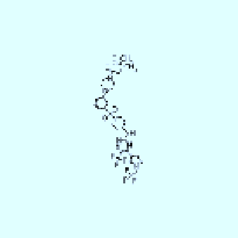 CC(C)(C)OC(=O)N1CCN(c2cccc(S(=O)(=O)N3CCC(Nc4ncc(C(F)(F)F)c(-c5cnn(CC(F)(F)F)c5)n4)CC3)c2)CC1